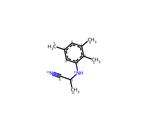 Cc1cc(C)c(C)c(NC(C)C#N)c1